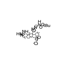 CC1(C)CC[C@]2(C(=O)OCc3ccccc3)CC[C@]3(C)C(=C(c4ccc(N5CCC(NC(=O)OC(C)(C)C)C5)nc4)CC4[C@@]5(C)Cc6c(n[nH]c6N)C(C)(C)C5CC[C@]43C)C2C1